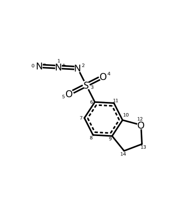 [N-]=[N+]=NS(=O)(=O)c1ccc2c(c1)OCC2